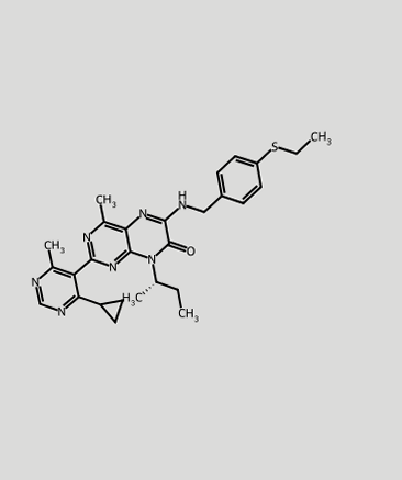 CCSc1ccc(CNc2nc3c(C)nc(-c4c(C)ncnc4C4CC4)nc3n([C@@H](C)CC)c2=O)cc1